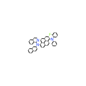 Fc1ccccc1N(c1ccccc1)c1ccc2ccc3c(N(c4ccc5ccccc5c4)c4nccc5ccccc45)ccc4ccc1c2c43